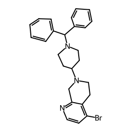 Brc1ccnc2c1CCN(C1CCN(C(c3ccccc3)c3ccccc3)CC1)C2